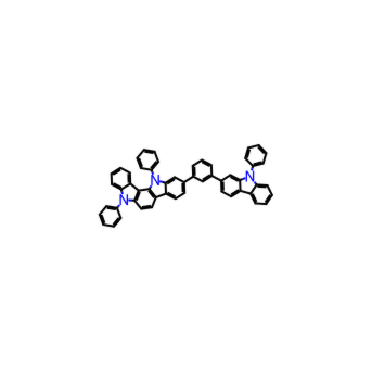 c1ccc(-n2c3ccccc3c3ccc(-c4cccc(-c5ccc6c7ccc8c(c9ccccc9n8-c8ccccc8)c7n(-c7ccccc7)c6c5)c4)cc32)cc1